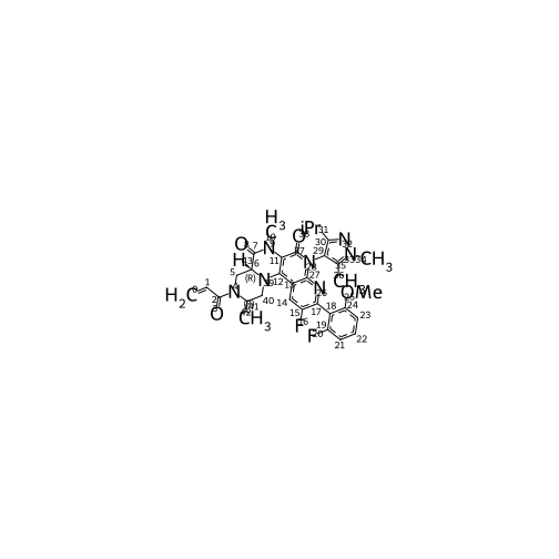 C=CC(=O)N1C[C@@H]2C(=O)N(C)c3c(c4cc(F)c(-c5c(F)cccc5OC)nc4n(-c4c(C(C)C)nn(C)c4C)c3=O)N2C[C@H]1C